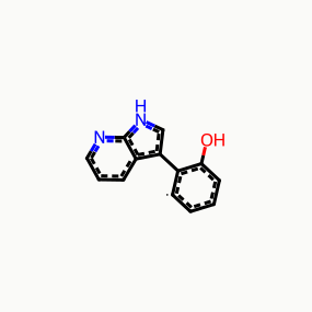 Oc1ccc[c]c1-c1c[nH]c2ncccc12